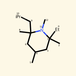 CCC1(C)CC(C)CC(C)(CC(C)C)N1C